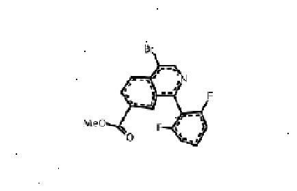 COC(=O)c1ccc2c(Br)cnc(-c3c(F)cccc3F)c2c1